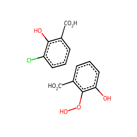 O=C(O)c1cccc(Cl)c1O.O=C(O)c1cccc(O)c1OO